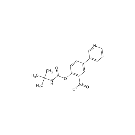 CC(C)(C)NC(=O)Oc1ccc(-c2cccnc2)cc1[N+](=O)[O-]